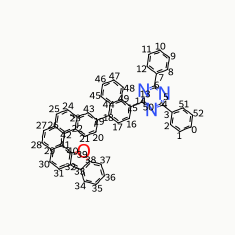 c1ccc(-c2nc(-c3ccccc3)nc(-c3ccc(-c4ccc5c(ccc6ccc7ccc8c9ccccc9oc8c7c65)c4)c4ccccc34)n2)cc1